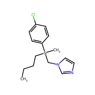 CCCC[Si](C)(Cn1ccnc1)c1ccc(Cl)cc1